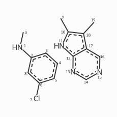 CNc1cccc(Cl)c1.Cc1[nH]c2ncncc2c1C